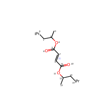 CC(C)CC(C)OC(=O)/C=C/C(=O)OC(C)CC(C)C